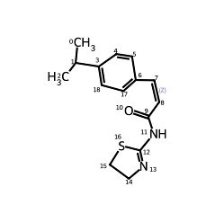 CC(C)c1ccc(/C=C\C(=O)NC2=NCCS2)cc1